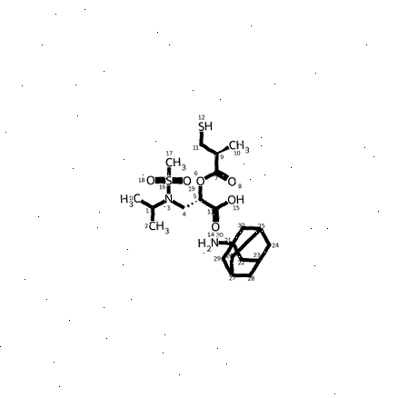 CC(C)N(C[C@H](OC(=O)[C@H](C)CS)C(=O)O)S(C)(=O)=O.NC12CC3CC(CC(C3)C1)C2